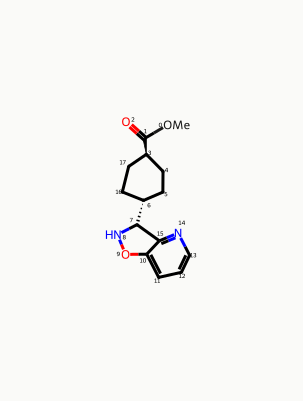 COC(=O)[C@H]1CC[C@H](C2NOc3cccnc32)CC1